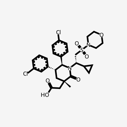 C[C@@]1(CC(=O)O)C[C@H](c2cccc(Cl)c2)[C@@H](c2ccc(Cl)cc2)N([C@H](CS(=O)(=O)N2CCOCC2)C2CC2)C1=O